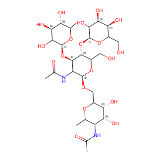 CC(=O)NC1C(C)OC(CO[C@@H]2OC(CO)[C@@H](O[C@@H]3OC(CO)[C@H](O)[C@H](O)C3O)[C@H](O[C@@H]3OC(C)[C@@H](O)[C@H](O)C3O)C2NC(C)=O)[C@H](O)[C@@H]1O